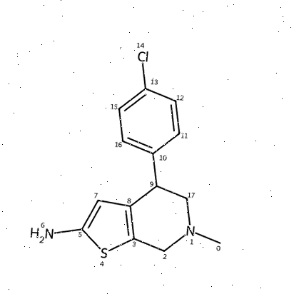 CN1Cc2sc(N)cc2C(c2ccc(Cl)cc2)C1